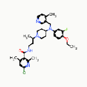 CCOc1ccc(N(Cc2cnccc2C)C2CCN([C@H](C)CCNC(=O)c3c(C)cc(Cl)nc3C)CC2)cc1F